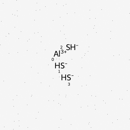 [Al+3].[SH-].[SH-].[SH-]